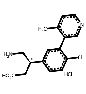 Cc1ccncc1-c1cc([C@H](CN)CC(=O)O)ccc1Cl.Cl